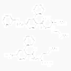 COC(=O)[C@H](CCSC)NC(=O)c1ccc(NCc2cccnc2)cc1-c1ccccc1.CSCC[C@H](NC(=O)c1ccc(N)cc1-c1ccccc1)C(=O)O